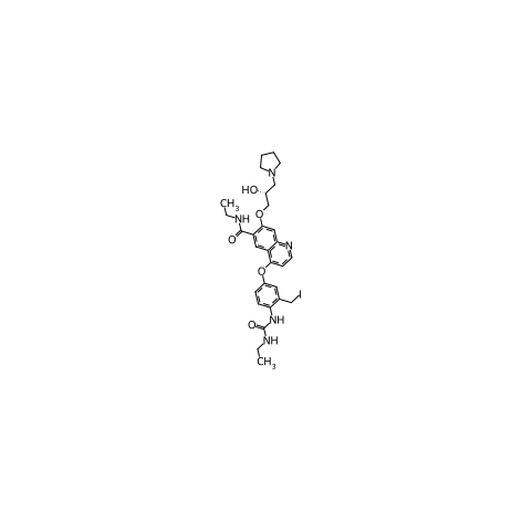 CCNC(=O)Nc1ccc(Oc2ccnc3cc(OC[C@H](O)CN4CCCC4)c(C(=O)NCC)cc23)cc1CI